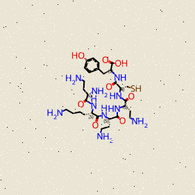 NCCCC[C@H](NC(=O)[C@@H](N)CCN)C(=O)N[C@@H](CCN)C(=O)N[C@@H](CCN)C(=O)N[C@@H](CS)C(=O)N[C@@H](Cc1ccc(O)cc1)C(=O)O